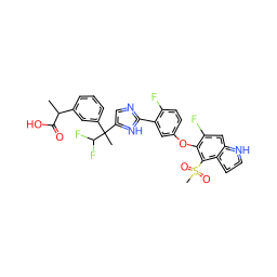 CC(C(=O)O)c1cccc(C(C)(c2cnc(-c3cc(Oc4c(F)cc5[nH]ccc5c4S(C)(=O)=O)ccc3F)[nH]2)C(F)F)c1